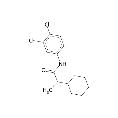 C[C@H](C(=O)Nc1[c]cc(Cl)c(Cl)c1)C1CCCCC1